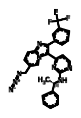 C[C@H](Nc1nccc(-c2c(-c3cccc(C(F)(F)F)c3)nc3ccc(CN=[N+]=[N-])cn23)n1)c1ccccc1